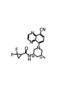 C[C@H]1C[C@@H](NC(=O)C2CC2(F)F)CN(c2ccc(C#N)c3nccnc23)C1